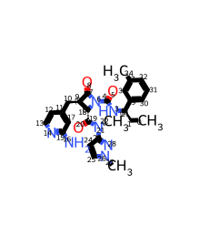 CC[C@@H](NC(=O)N1C(=O)[C@H](Cc2ccnc(N)c2)[C@H]1C(=O)N(C)c1ccn(C)n1)c1cccc(C)c1